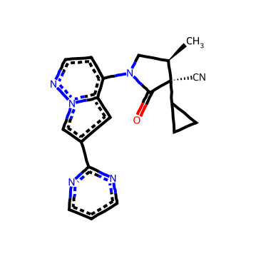 C[C@@H]1CN(c2ccnn3cc(-c4ncccn4)cc23)C(=O)[C@]1(C#N)C1CC1